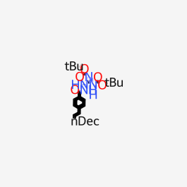 CCCCCCCCCCCCc1ccc(C(=O)NN/C(=N\C(=O)OC(C)(C)C)NC(=O)OC(C)(C)C)cc1